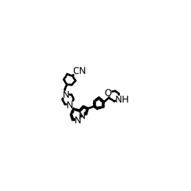 N#CC1CCC(CN2CCN(c3ccnn4cc(-c5ccc(C6CNCCO6)cc5)cc34)CC2)CC1